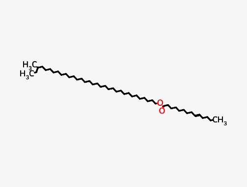 CCCCC=CCCCCCCCC(=O)OCCCCCCCCCCCCCCCCCCCCCCCCCCCCCCC(C)CC